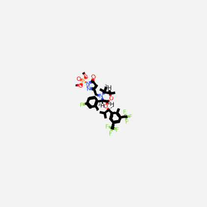 [2H]C1(C)O[C@]([2H])(O[C@@](C)(c2cc(C(F)(F)F)cc(C(F)(F)F)c2C)C(C)C)[C@]([2H])(c2ccc(F)cc2C)N(CC2=NN(P(=O)(OC)OC)C(=O)C2)C1(C)C